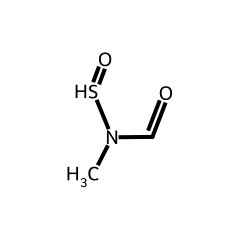 CN(C=O)[SH]=O